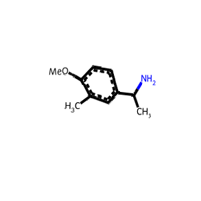 COc1ccc(C(C)N)cc1C